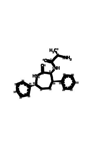 C[C@H](N)C(=O)N[C@@H]1C(=O)N[C@@H](c2ccccc2)CC[C@@H]1c1ccccc1